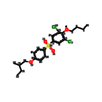 CCCCOc1c(Cl)cc(S(=O)(=O)c2ccc(OCC(C)CC)cc2)cc1Cl